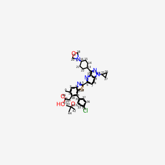 Cc1cc2nc(-c3ccc4c(n3)c(C3CCC(N5COC5)CC3)nn4C3CC3)sc2c(-c2ccc(Cl)cc2)c1[C@H](OC(C)(C)C)C(=O)O